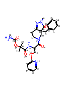 CN1N=C2CCN(C(=O)C(COc3ccccn3)NC(=O)C(C)(C)OC(N)=O)C[C@@]2(Cc2ccccc2)C1=O